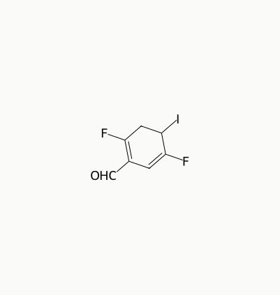 O=CC1=C(F)CC(I)C(F)=C1